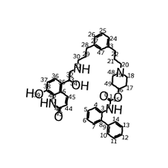 O=C(Nc1ccccc1-c1ccccc1)OC1CCN(CCCc2cccc(CCCNCC(O)c3ccc(O)c4[nH]c(=O)ccc34)c2)CC1